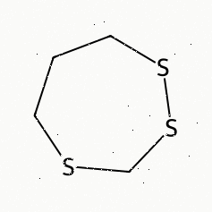 C1CSCSSC1